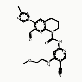 COCCNc1cc(NC(=O)N2CCCc3cc(-n4cnc(C)n4)c(C=O)nc32)ncc1C#N